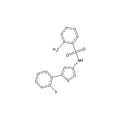 Cc1ccccc1S(=O)(=O)Nc1csc(-c2ccccc2F)c1